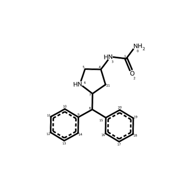 NC(=O)NC1CNC(C(c2ccccc2)c2ccccc2)C1